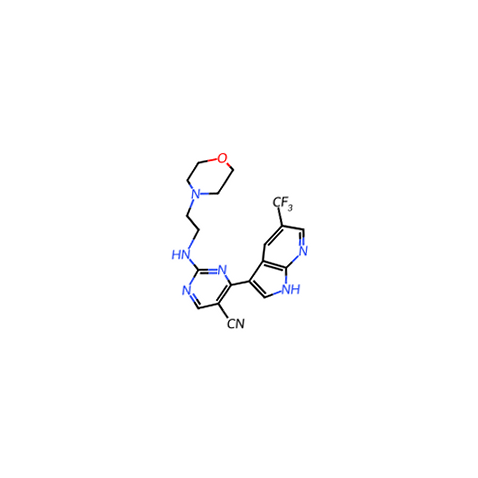 N#Cc1cnc(NCCN2CCOCC2)nc1-c1c[nH]c2ncc(C(F)(F)F)cc12